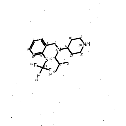 CC(C)CN(Cc1ccccc1SC(F)(F)F)C1CCNCC1